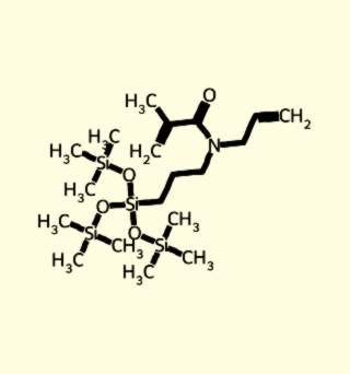 C=CCN(CCC[Si](O[Si](C)(C)C)(O[Si](C)(C)C)O[Si](C)(C)C)C(=O)C(=C)C